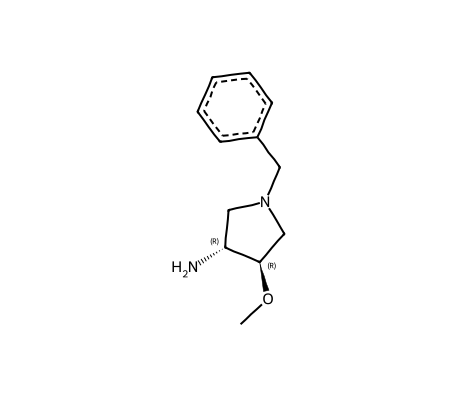 CO[C@@H]1CN(Cc2ccccc2)C[C@H]1N